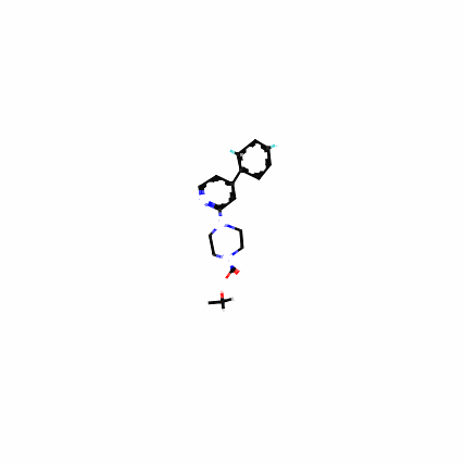 CC(C)(C)OC(=O)N1CCN(c2cc(-c3ccc(F)cc3F)ccn2)CC1